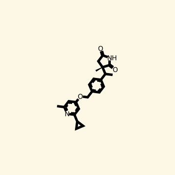 Cc1cc(OCc2ccc(C(C)[C@]3(C)CC(=O)NC3=O)cc2)cc(C2CC2)n1